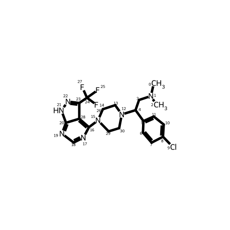 CN(C)CC(c1ccc(Cl)cc1)N1CCN(c2ncnc3[nH]nc(C(F)(F)F)c23)CC1